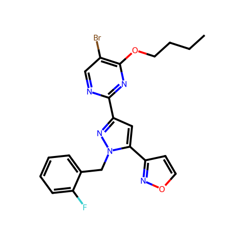 CCCCOc1nc(-c2cc(-c3ccon3)n(Cc3ccccc3F)n2)ncc1Br